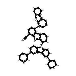 N#Cc1ccc(-c2cccc3c2oc2ccccc23)c2c1oc1c(-n3c4ccc(-c5ccccc5)cc4c4cc(-c5ccccc5)ccc43)cccc12